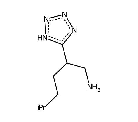 CC(C)CCC(CN)c1nnn[nH]1